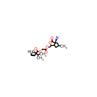 C/C=C\C(C)(C(=O)OCC(=O)OCC1OC(=O)C2(C#N)CC(C)CC12)C(C)C